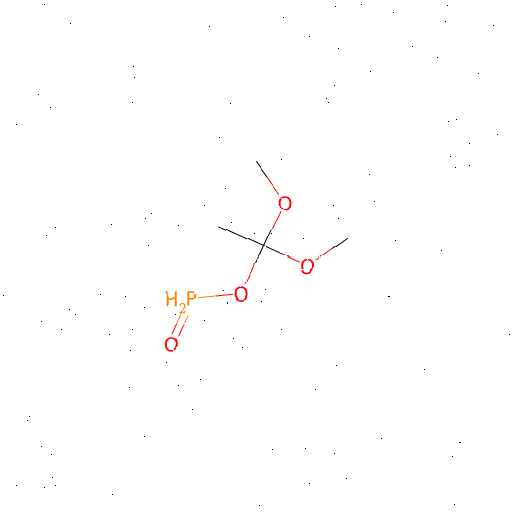 COC(C)(OC)O[PH2]=O